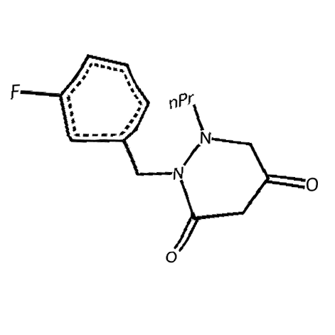 CCCN1CC(=O)CC(=O)N1Cc1cccc(F)c1